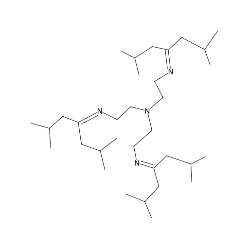 CC(C)CC(CC(C)C)=NCCN(CCN=C(CC(C)C)CC(C)C)CCN=C(CC(C)C)CC(C)C